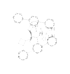 C[SiH](C)[Zr]([Cl])([Cl])([CH]1C(CC2CCC2)=Cc2c(-c3ccccc3)ccc(-c3ccccc3)c21)[CH]1C(CC2CCC2)=Cc2c(-c3ccccc3)ccc(-c3ccccc3)c21